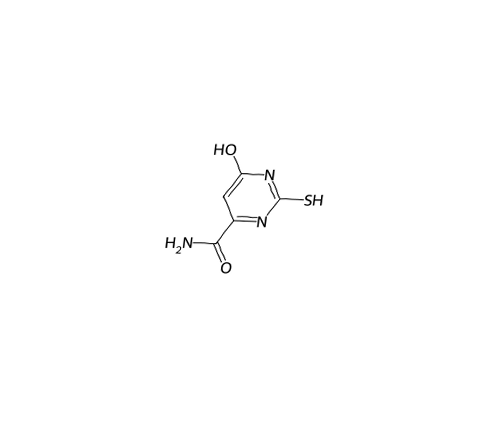 NC(=O)c1cc(O)nc(S)n1